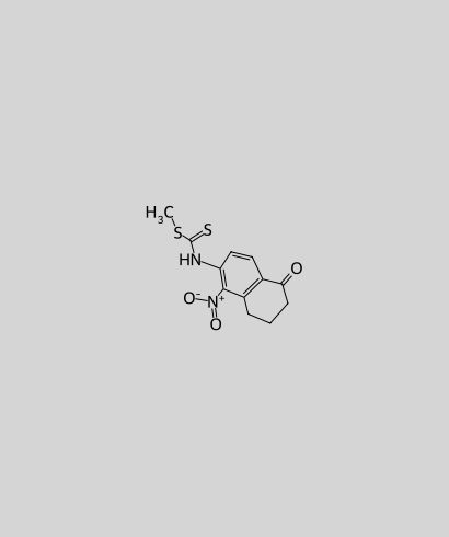 CSC(=S)Nc1ccc2c(c1[N+](=O)[O-])CCCC2=O